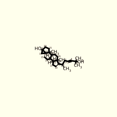 C[C@H](CC#CC(C)(C)O)[C@H]1CC[C@H]2[C@@H]3CC[C@]45C[C@]4(O)CC[C@]5(C)[C@H]3CC[C@]12C